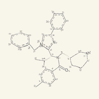 Cc1ccc(C(=O)N(C[C@H]2CCCNC2)[C@@H](c2nc(-c3ccccc3)cn2Cc2ccccc2)C(C)C)cc1